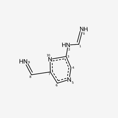 N=CNc1cncc(C=N)n1